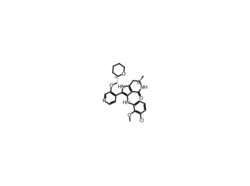 COc1c(Cl)cccc1Nc1c(-c2ccncc2OC[C@@H]2CCCCO2)[nH]c2c1C(=O)N[C@H](C)C2